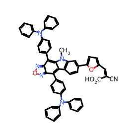 Cn1c2cc(-c3ccc(C=C(C#N)C(=O)O)o3)ccc2c2c(-c3ccc(N(c4ccccc4)c4ccccc4)cc3)c3nonc3c(-c3ccc(N(c4ccccc4)c4ccccc4)cc3)c21